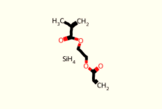 C=CC(=O)OCCOC(=O)C(=C)C.[SiH4]